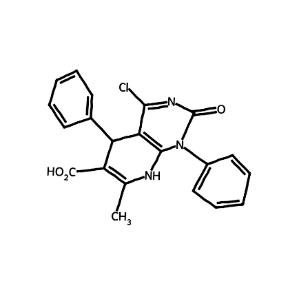 CC1=C(C(=O)O)C(c2ccccc2)c2c(Cl)nc(=O)n(-c3ccccc3)c2N1